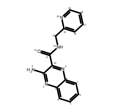 Nc1nc2ccccc2nc1C(=O)NCc1ccccn1